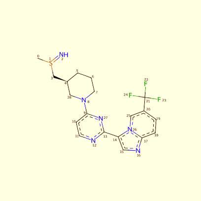 CS(=N)C[C@H]1CCCN(c2ccnc(-c3cnc4ccc(C(F)(F)F)cn34)n2)C1